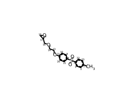 Cc1ccc(S(=O)(=O)c2ccc(OCCOCC3CO3)cc2)cc1